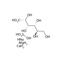 O=C(O)[C@H](O)[C@@H](O)[C@H](O)[C@H](O)CO.O=S(=O)(O)O.[CaH2].[MgH2].[NaH]